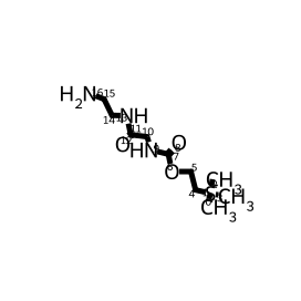 CS(C)(C)CCOC(=O)NCC(=O)NCCN